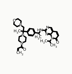 C=CC(=O)N1CCN(C(C)(CN2CCOCC2)c2ccc([C@H](C)Nc3ncc4ccc(=O)n(C(C)C)c4n3)cc2)CC1